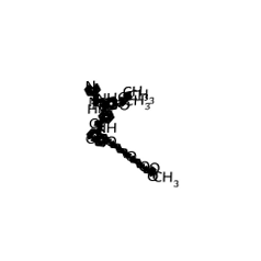 COC(=O)COCCCOCCCCCOc1ccc2c(c1)C(NC(=O)c1cccc(NC3(c4nnc(-c5ccncc5)[nH]4)CCN(C(=O)OC(C)(C)C)CC3)c1)CCO2